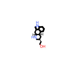 OCC[C@H]1CN[C@@H]2Cc3c[nH]c4cccc(c34)[C@H]2C1